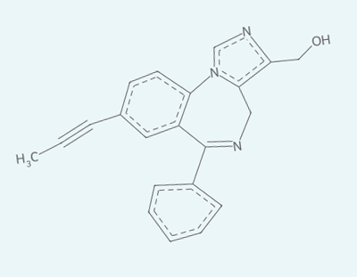 CC#Cc1ccc2c(c1)C(c1ccccc1)=NCc1c(CO)ncn1-2